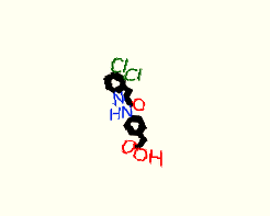 Cn1c(C(=O)Nc2ccc(CC(=O)O)cc2)cc2c(Cl)c(Cl)ccc21